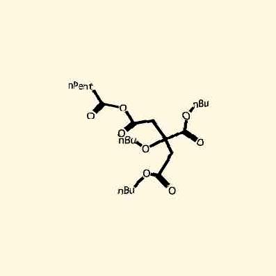 CCCCCC(=O)OC(=O)CC(CC(=O)OCCCC)(OCCCC)C(=O)OCCCC